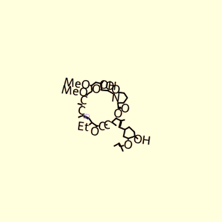 CC=C(C)OC1CC(C=C(C)C2OC(=O)C3CCCCN3C(=O)C(=O)C3(O)OC(C(OC)CC(C)C/C(C)=C/C(CC)C(=O)CCC2C)C(OC)CC3C)CCC1O